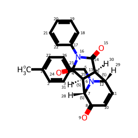 Cc1ccc(CN2[C@@H]3C(=O)C=C[C@H]2[C@@H]2C(=O)N(c4ccccc4)C(=O)[C@@H]23)cc1